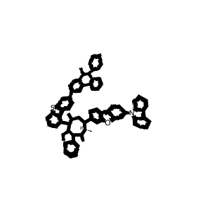 CCC1C(c2cccc3sc4cc(-c5ccc6c(c5)-c5ccccc5C(c5ccccc5)C6C)ccc4c23)C(C)CC(c2ccc3c(c2)oc2cc(-n4c5ccccc5c5ccccc54)ccc23)[C@H](C)C(C)C1c1ccccc1